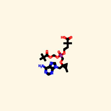 CC1CC1(Cn1cnc2c(N)ncnc21)OCP(=O)(OCCC(C)(C)C(=O)O)OCOC(=O)C(C)(C)C